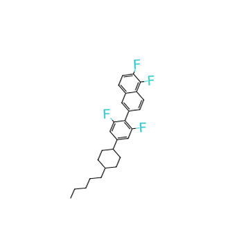 CCCCCC1CCC(c2cc(F)c(-c3ccc4c(F)c(F)ccc4c3)c(F)c2)CC1